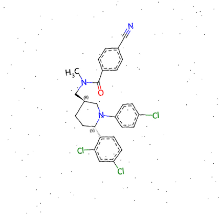 CN(C[C@@H]1CC[C@@H](c2ccc(Cl)cc2Cl)N(c2ccc(Cl)cc2)C1)C(=O)c1ccc(C#N)cc1